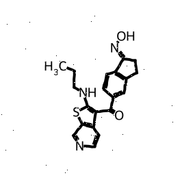 CCCNc1sc2cnccc2c1C(=O)c1ccc2c(c1)CCC2=NO